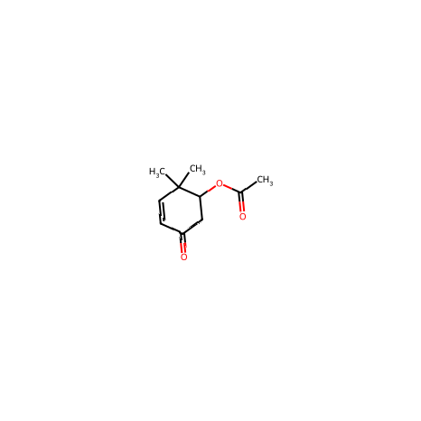 CC(=O)OC1CC(=O)C=CC1(C)C